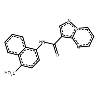 O=C(O)c1ccc(NC(=O)c2cnn3cccnc23)c2ccccc12